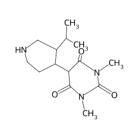 CC(C)C1CNCCC1C1C(=O)N(C)C(=O)N(C)C1=O